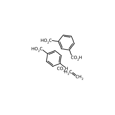 C=C.O=C(O)c1ccc(C(=O)O)cc1.O=C(O)c1cccc(C(=O)O)c1